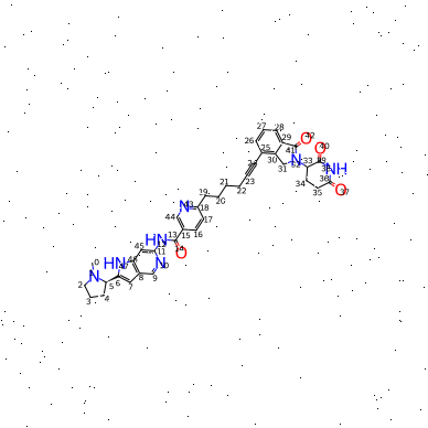 CN1CCC[C@@H]1c1cc2cnc(NC(=O)c3ccc(CCCCC#Cc4cccc5c4CN(C4CCC(=O)NC4=O)C5=O)nc3)cc2[nH]1